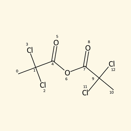 CC(Cl)(Cl)C(=O)OC(=O)C(C)(Cl)Cl